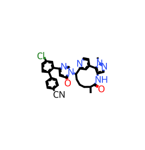 CC1CCCC(n2cnc(-c3cc(Cl)ccc3-c3ccc(C#N)cc3)cc2=O)c2cc(ccn2)-c2c(cnn2C)NC1=O